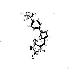 CC(F)(F)c1ccc(-c2ccc(C=C3NC(=S)NC3=O)o2)cc1